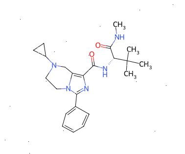 CNC(=O)[C@@H](NC(=O)c1nc(-c2ccccc2)n2c1CN(C1CC1)CC2)C(C)(C)C